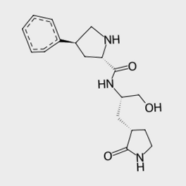 O=C1NCC[C@H]1C[C@@H](CO)NC(=O)[C@@H]1C[C@@H](c2ccccc2)CN1